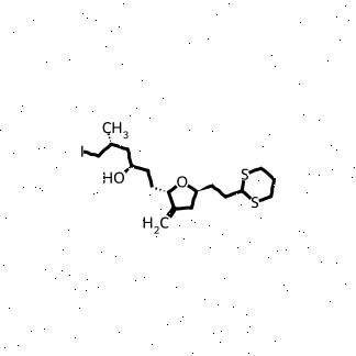 C=C1C[C@H](CCC2SCCCS2)O[C@H]1CC[C@@H](O)C[C@@H](C)CI